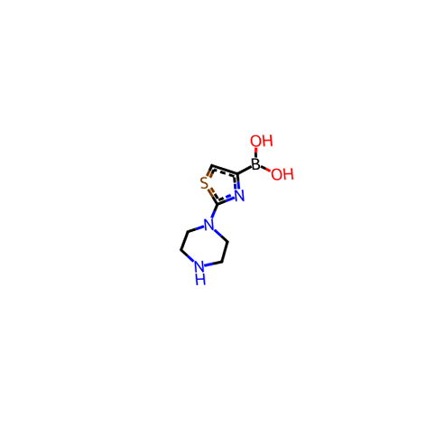 OB(O)c1csc(N2CCNCC2)n1